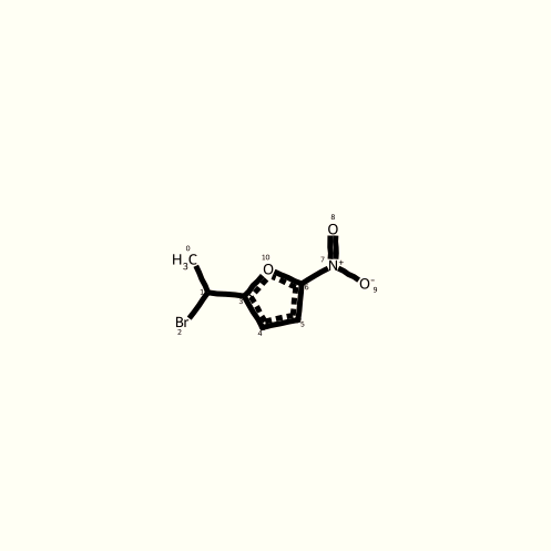 CC(Br)c1ccc([N+](=O)[O-])o1